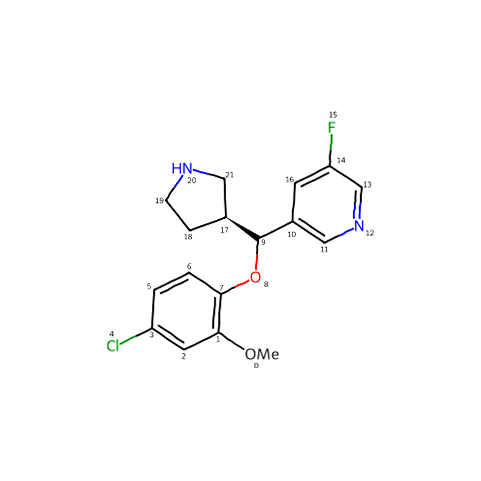 COc1cc(Cl)ccc1OC(c1cncc(F)c1)[C@H]1CCNC1